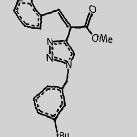 COC(=O)C(=Cc1ccccc1)c1cn(Cc2cccc(C(C)(C)C)c2)nn1